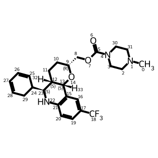 CN1CCN(C(=O)OC[C@H]2CC[C@@H]3[C@H](O2)c2cc(C(F)(F)F)ccc2N[C@H]3C2C=CC=CC2)CC1